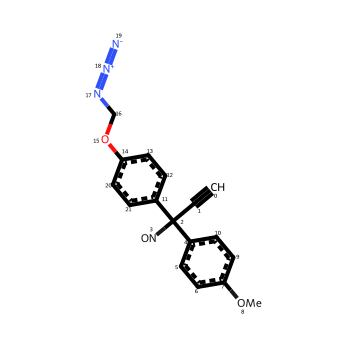 C#CC(N=O)(c1ccc(OC)cc1)c1ccc(OCN=[N+]=[N-])cc1